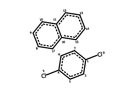 Clc1ccc(Cl)cc1.c1ccc2ccccc2c1